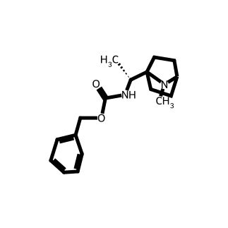 C[C@@H](NC(=O)OCc1ccccc1)C12CCC(CC1)N2C